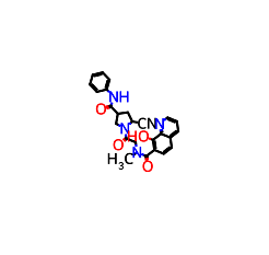 CN(CC(=O)N1CC(C(=O)Nc2ccccc2)CC1C#N)C(=O)c1ccc2cccnc2c1O